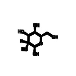 OC[C@H]1O[C@@H](O)[C@@](O)(F)[C@@H](O)[C@H]1O